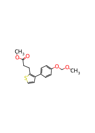 COCOc1ccc(-c2ccsc2CCC(=O)OC)cc1